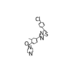 CC1CC(c2cn3c(-c4ccc(Cl)cc4)csc3n2)=CC=C1C(=O)N1CCN(C)CC1